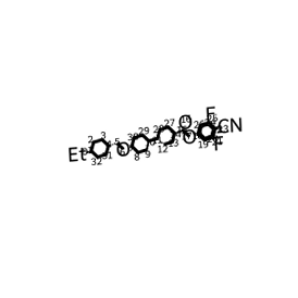 CC[C@H]1CC[C@H](CO[C@H]2CC[C@H]([C@H]3CC[C@H](C(=O)Oc4cc(F)c(C#N)c(F)c4)CC3)CC2)CC1